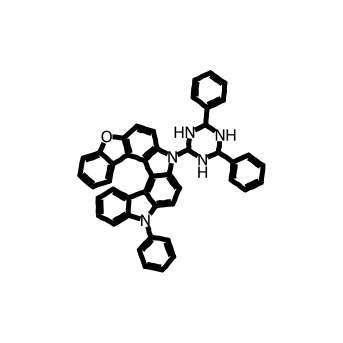 c1ccc(C2NC(c3ccccc3)NC(n3c4ccc5oc6ccccc6c5c4c4c5c6ccccc6n(-c6ccccc6)c5ccc43)N2)cc1